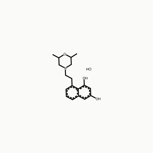 CC1CN(CCc2cccc3cc(O)cc(O)c23)CC(C)O1.Cl